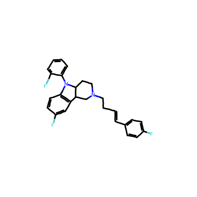 Fc1ccc(/C=C/CCN2CCC3C(C2)c2cc(F)ccc2N3c2ccccc2F)cc1